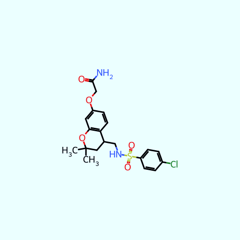 CC1(C)CC(CNS(=O)(=O)c2ccc(Cl)cc2)c2ccc(OCC(N)=O)cc2O1